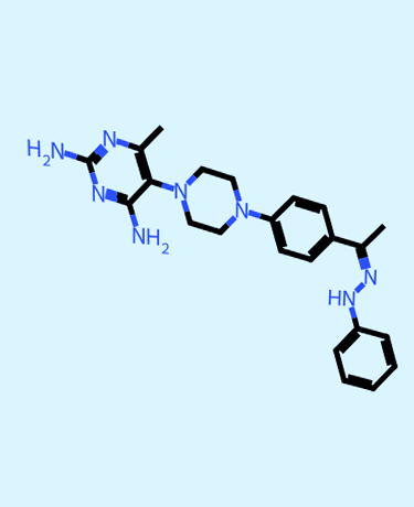 CC(=NNc1ccccc1)c1ccc(N2CCN(c3c(C)nc(N)nc3N)CC2)cc1